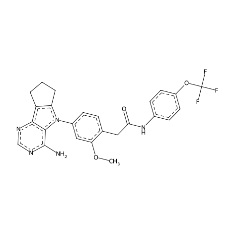 COc1cc(-n2c3c(c4ncnc(N)c42)CCC3)ccc1CC(=O)Nc1ccc(OC(F)(F)F)cc1